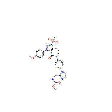 COC(=O)N(C)Cc1nccn1-c1ccc(N2CCc3c(S(C)(=O)=O)nn(-c4ccc(OC)cc4)c3C2=O)cc1